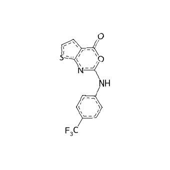 O=c1oc(Nc2ccc(C(F)(F)F)cc2)nc2sccc12